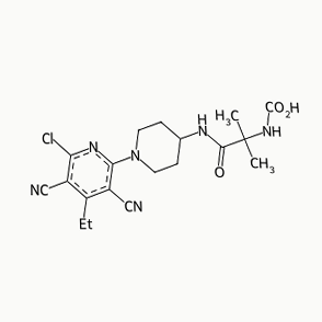 CCc1c(C#N)c(Cl)nc(N2CCC(NC(=O)C(C)(C)NC(=O)O)CC2)c1C#N